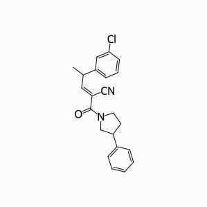 CC(/C=C(\C#N)C(=O)N1CCC(c2ccccc2)C1)c1cccc(Cl)c1